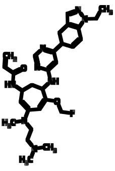 C=CC(=O)NC1C=C(N(C)CCN(C)C)C=C(OCF)C(Nc2cc(C3C=Cc4c(cnn4CC)C3)ncn2)C1